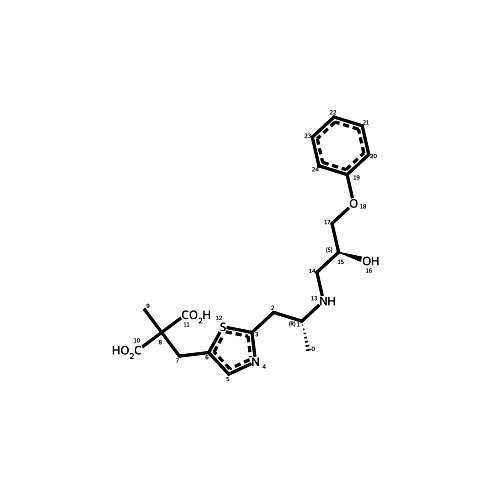 C[C@H](Cc1ncc(CC(C)(C(=O)O)C(=O)O)s1)NC[C@H](O)COc1ccccc1